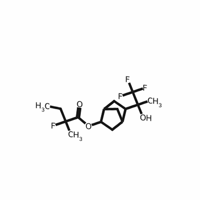 CCC(C)(F)C(=O)OC1CC2CC1CC2C(C)(O)C(F)(F)F